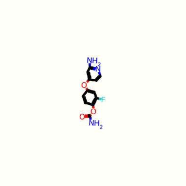 NC(=O)Oc1ccc(Oc2ccnc(N)c2)cc1F